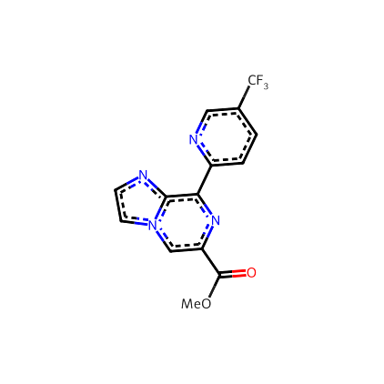 COC(=O)c1cn2ccnc2c(-c2ccc(C(F)(F)F)cn2)n1